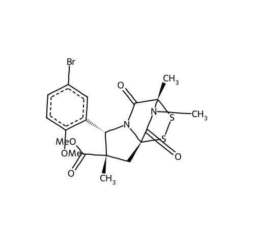 COC(=O)[C@@]1(C)C[C@@]23SS[C@@](C)(C(=O)N2[C@H]1c1cc(Br)ccc1OC)N(C)C3=O